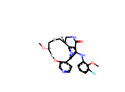 COc1c(F)cccc1Nc1c2[nH]c3c1C(=O)NC[C@H]3CCC[C@@H](OC)COc1cnccc1-2